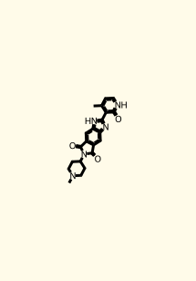 Cc1cc[nH]c(=O)c1-c1nc2cc3c(cc2[nH]1)C(=O)N(C1CCN(C)CC1)C3=O